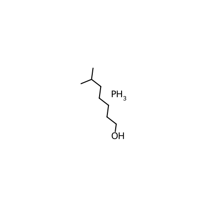 CC(C)CCCCCO.P